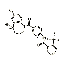 O=C(Nc1ccc(C(=O)N2CCCC3(CN3)c3cc(Cl)ccc32)cn1)c1ccccc1C(F)(F)F